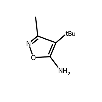 Cc1noc(N)c1C(C)(C)C